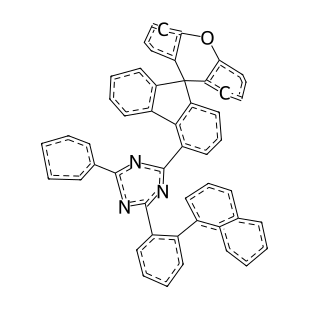 c1ccc(-c2nc(-c3ccccc3-c3cccc4ccccc34)nc(-c3cccc4c3-c3ccccc3C43c4ccccc4Oc4ccccc43)n2)cc1